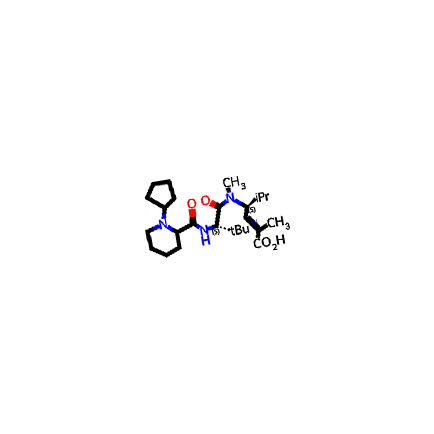 C/C(=C\[C@H](C(C)C)N(C)C(=O)[C@@H](NC(=O)C1CCCCN1C1CCCC1)C(C)(C)C)C(=O)O